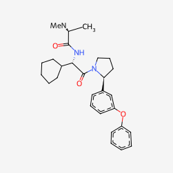 CN[C@@H](C)C(=O)N[C@H](C(=O)N1CCC[C@H]1c1cccc(Oc2ccccc2)c1)C1CCCCC1